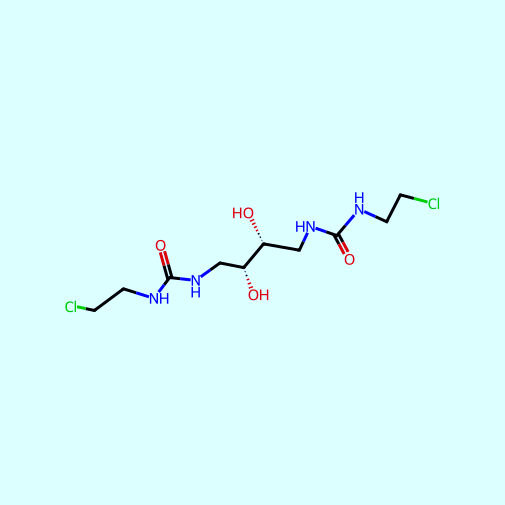 O=C(NCCCl)NC[C@@H](O)[C@H](O)CNC(=O)NCCCl